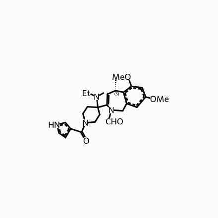 CCN(C)C1(C2=C[C@H](C)c3c(cc(OC)cc3OC)CN2C=O)CCN(C(=O)c2cc[nH]c2)CC1